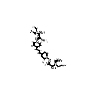 CC(C)CN(CC(C)C)C(=N)C(N)=NN1CCC(CCCC2CCN(N=C(N)C(=N)N(CC(C)C)CC(C)C)CC2)CC1